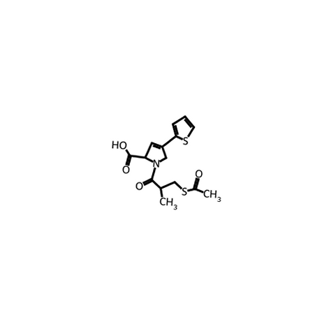 CC(=O)SCC(C)C(=O)N1CC(c2cccs2)=CC1C(=O)O